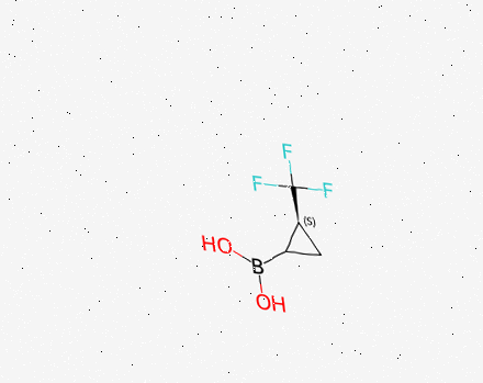 OB(O)C1C[C@@H]1C(F)(F)F